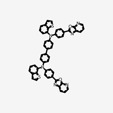 c1cc(N(c2ccc(-c3ccc(N(c4ccc(-c5nc6cccnc6o5)cc4)c4cccc5ccsc45)cc3)cc2)c2ccc(-c3nc4cccnc4o3)cc2)c2sccc2c1